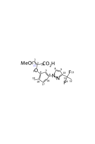 CO/C=C(\Oc1cc(-n2ccc(C(C)(F)F)n2)ccc1C)C(=O)O